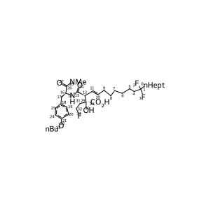 CCCCCCCC(F)(F)CCCCCC/C=C/[C@H](C(=O)N[C@@H](Cc1ccc(OCCCC)cc1)C(=O)NC)[C@@](O)(CCF)C(=O)O